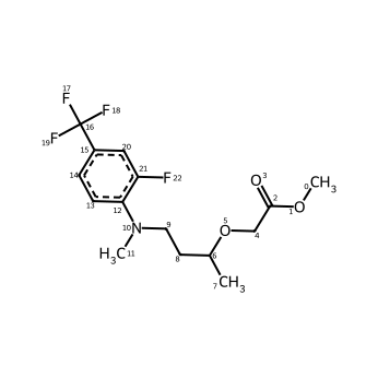 COC(=O)COC(C)CCN(C)c1ccc(C(F)(F)F)cc1F